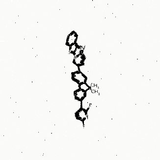 CC1(C)c2cc(-c3ccc4nc5c6ccccc6sc5n4c3)ccc2-c2ccc(-c3ccc(F)nc3F)cc21